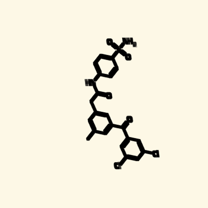 Cc1cc(CC(=O)Nc2ccc(S(N)(=O)=O)cc2)cc(C(=O)c2cc(Cl)cc(Cl)c2)c1